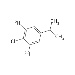 [2H]c1cc(C(C)C)cc([2H])c1Cl